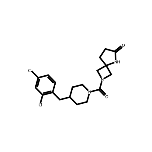 O=C1CCC2(CN(C(=O)N3CCC(Cc4ccc(Cl)cc4Cl)CC3)C2)N1